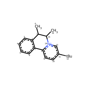 CC1c2ccccc2-c2ccc(C(C)(C)C)c[n+]2C1C